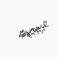 CNc1ccc2cn(-c3cc4cnn(CC(F)(F)C(F)(F)F)c4cn3)nc2c1